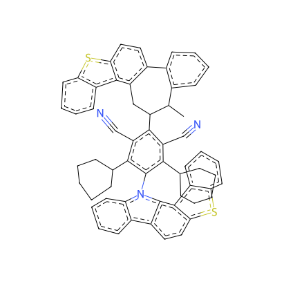 CC1c2ccccc2-c2ccc3sc4ccccc4c3c2CC1c1c(C#N)c(C2CCCCC2)c(-n2c3ccccc3c3ccc4sc5ccccc5c4c32)c(C2CCCCC2)c1C#N